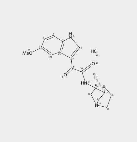 COc1ccc2[nH]cc(C(=O)C(=O)N[C@@H]3CN4CCC3CC4)c2c1.Cl